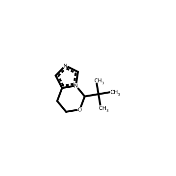 CC(C)(C)C1OCCc2cncn21